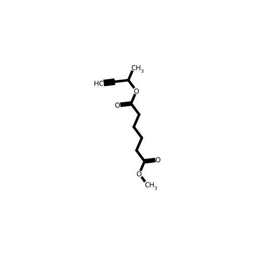 C#CC(C)OC(=O)CCCCC(=O)OC